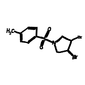 Cc1ccc(S(=O)(=O)N2CC(Br)C(Br)C2)cc1